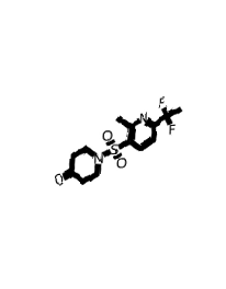 Cc1nc(C(C)(F)F)ccc1S(=O)(=O)N1CCC(=O)CC1